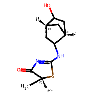 CC(C)[C@]1(C)SC(NC2C[C@H]3C[C@@H]2CC3O)=NC1=O